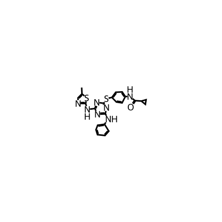 Cc1cnc(Nc2nc(Nc3ccccc3)nc(Sc3ccc(NC(=O)C4CC4)cc3)n2)s1